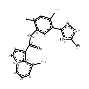 Cc1cc(F)c(-c2nnc(C(C)C)[nH]2)cc1NC(=O)c1cnn2cccc(F)c12